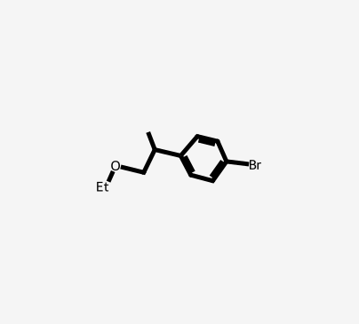 CCOCC(C)c1ccc(Br)cc1